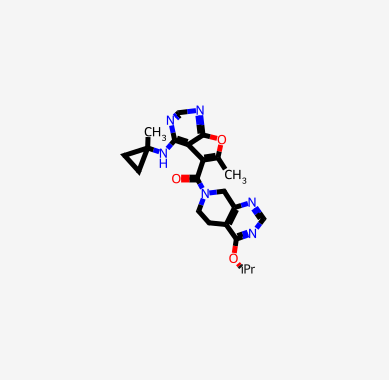 Cc1oc2ncnc(NC3(C)CC3)c2c1C(=O)N1CCc2c(ncnc2OC(C)C)C1